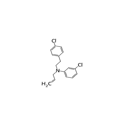 C=CCN(CCc1ccc(Cl)cc1)c1cccc(Cl)c1